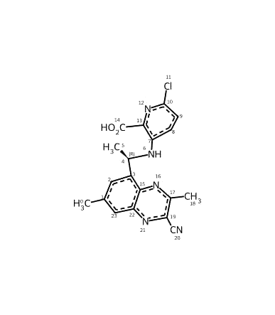 Cc1cc([C@@H](C)Nc2ccc(Cl)nc2C(=O)O)c2nc(C)c(C#N)nc2c1